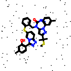 CSC(C)(C)c1cc(N(Cc2ccccc2Sc2ccc3nnc(-c4ccc(C)cc4O)n3c2)C(N)=O)n(-c2cccc(C)c2)n1